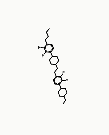 CCCCc1ccc(C2CCC(CCc3ccc(C4CCC(CC)CC4)c(F)c3F)CC2)c(F)c1F